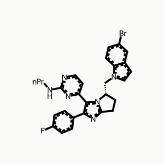 CCCNc1nccc(-c2c(-c3ccc(F)cc3)nc3n2[C@H](Cn2ccc4cc(Br)ccc42)CC3)n1